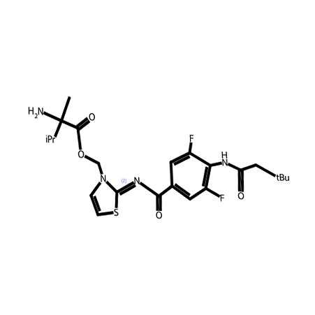 CC(C)C(C)(N)C(=O)OCn1ccs/c1=N\C(=O)c1cc(F)c(NC(=O)CC(C)(C)C)c(F)c1